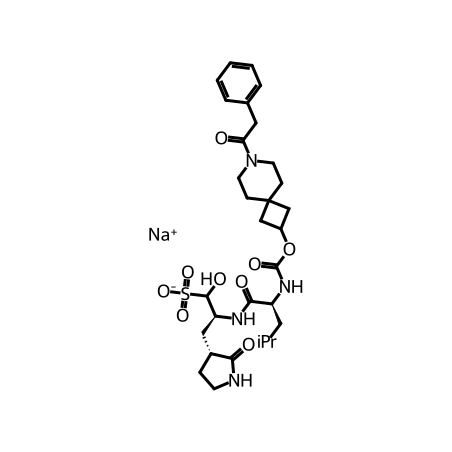 CC(C)C[C@H](NC(=O)OC1CC2(CCN(C(=O)Cc3ccccc3)CC2)C1)C(=O)N[C@@H](C[C@H]1CCNC1=O)C(O)S(=O)(=O)[O-].[Na+]